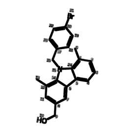 Cc1cccc2c3cc(CO)cc(C)c3n(Cc3ccc(Br)cc3)c12